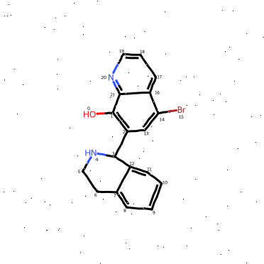 Oc1c(C2NCCc3ccccc32)cc(Br)c2cccnc12